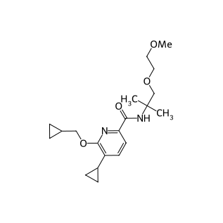 COCCOCC(C)(C)NC(=O)c1ccc(C2CC2)c(OCC2CC2)n1